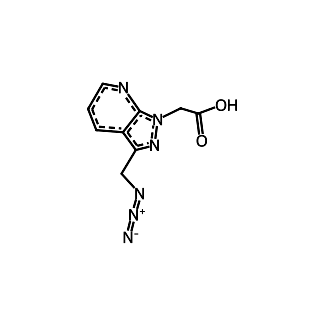 [N-]=[N+]=NCc1nn(CC(=O)O)c2ncccc12